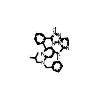 CC(C)CN(Cc1ccccc1)c1cc(Nc2ncccn2)cc(-c2ccccc2-c2nnn[nH]2)n1